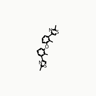 Cc1nc(-c2cccc(Oc3cccc(-c4csc(C)n4)c3C)c2C)cs1